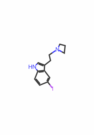 Ic1ccc2[nH]cc(CCN3CCC3)c2c1